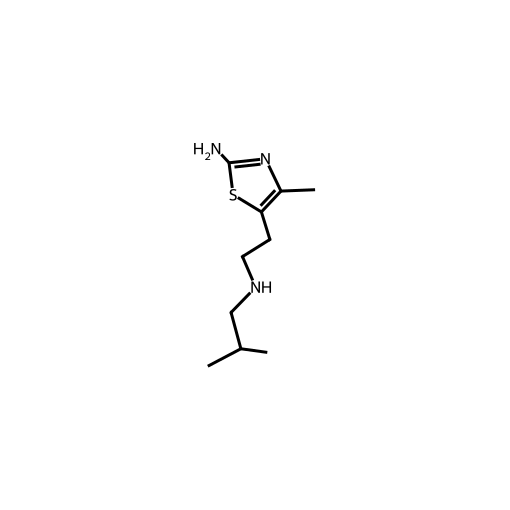 Cc1nc(N)sc1CCNCC(C)C